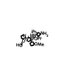 COc1cccc(C2(CNC(=O)Nc3c(C(C)C)cc(N)cc3C(C)C)CCN(c3ncccc3OCCO)CC2)c1